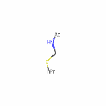 C[CH]CSCNC(C)=O